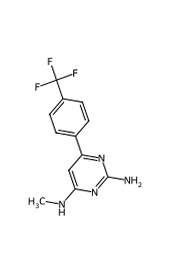 CNc1cc(-c2ccc(C(F)(F)F)cc2)nc(N)n1